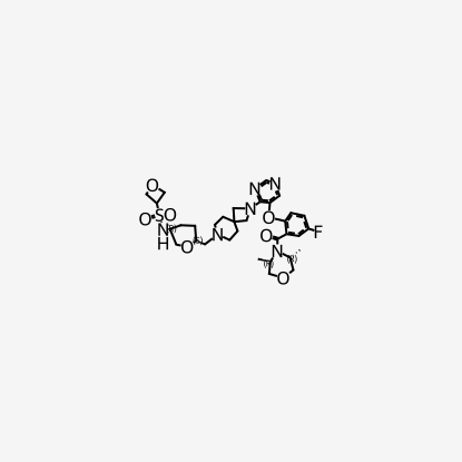 C[C@@H]1COC[C@@H](C)N1C(=O)c1cc(F)ccc1Oc1cncnc1N1CC2(CCN(C[C@@H]3CC[C@@H](NS(=O)(=O)C4COC4)CO3)CC2)C1